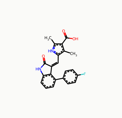 Cc1[nH]c(/C=C2\C(=O)Nc3cccc(-c4ccc(F)cc4)c32)c(C)c1C(=O)O